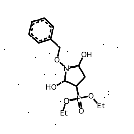 CCOP(=O)(OCC)C1CC(O)N(OCc2ccccc2)C1O